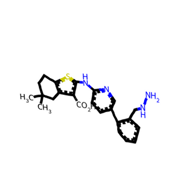 CC1(C)CCc2sc(Nc3ccc(-c4ccccc4CNN)cn3)c(C(=O)O)c2C1